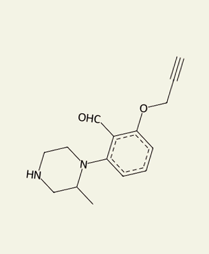 C#CCOc1cccc(N2CCNCC2C)c1C=O